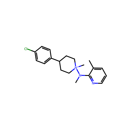 Cc1cccnc1N(C)[N+]1(C)CCC(c2ccc(Cl)cc2)CC1